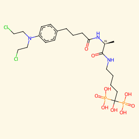 C[C@H](NC(=O)CCCc1ccc(N(CCCl)CCCl)cc1)C(=O)NCCCCC(O)(P(=O)(O)O)P(=O)(O)O